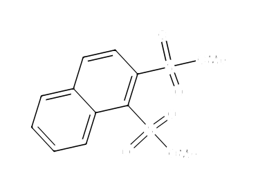 COS(=O)(=O)c1ccc2ccccc2c1S(=O)(=O)OC